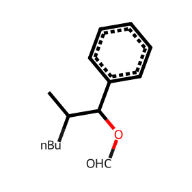 CCCCC(C)C(OC=O)c1ccccc1